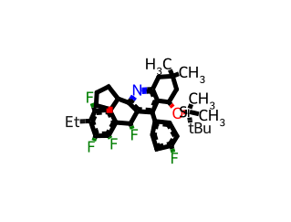 CCc1c(F)cc(C(F)c2c(C3CCCC3)nc3c(c2-c2ccc(F)cc2)C(O[Si](C)(C)C(C)(C)C)CC(C)(C)C3)c(F)c1F